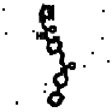 O=C(Cn1ccnn1)Nc1ccc(C=CC(=O)N2CC=C(c3ccccc3)CC2)cn1